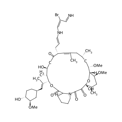 CO[C@H]1C[C@@H](C)C/C(C)=C/[C@@H](C/C=C/N/C=C(/Br)C=N)C(=O)C[C@H](O)[C@@H](C)[C@@H](/C(C)=C/[C@@H]2CC[C@@H](O)[C@H](OC)C2)OC(=O)[C@@H]2CCCCN2C(=O)C(=O)[C@]2(O)O[C@H]1[C@@H](OC)C[C@H]2C